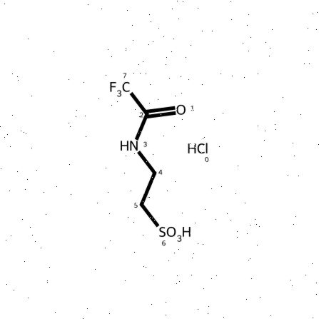 Cl.O=C(NCCS(=O)(=O)O)C(F)(F)F